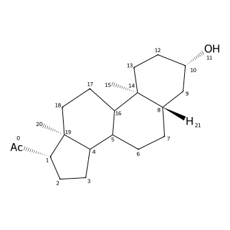 CC(=O)[C@H]1CCC2C3CC[C@H]4C[C@@H](O)CC[C@]4(C)C3CC[C@@]21C